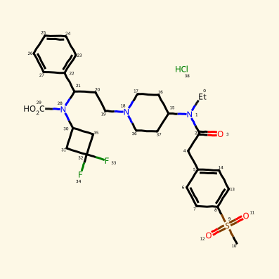 CCN(C(=O)Cc1ccc(S(C)(=O)=O)cc1)C1CCN(CCC(c2ccccc2)N(C(=O)O)C2CC(F)(F)C2)CC1.Cl